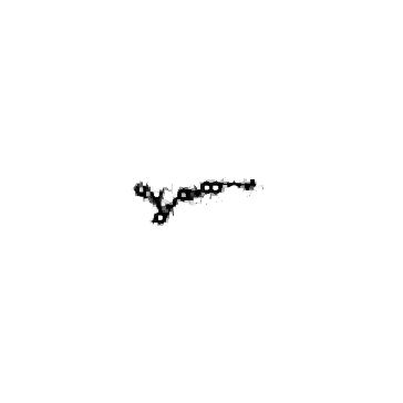 C=C(C(=O)OCCCOc1ccc2cc(C(=O)Oc3ccc(/C=C/C(=O)Oc4ccc(C)cc4/C=N/N(CCCCCCCCCCCC)c4nc5cccnc5s4)cc3OC)ccc2c1)C(F)(F)F